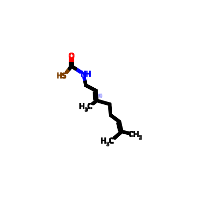 CC(C)=CCC/C(C)=C/CNC(=O)S